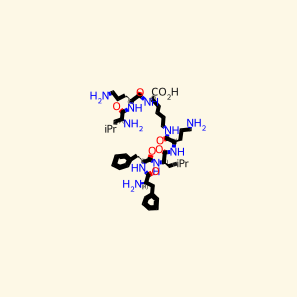 CC(C)C[C@@H](N)C(=O)N[C@H](CCCN)C(=O)N[C@H](CCCCNC(=O)[C@@H](CCCN)NC(=O)[C@@H](CC(C)C)NC(=O)[C@@H](Cc1ccccc1)NC(=O)[C@H](N)Cc1ccccc1)C(=O)O